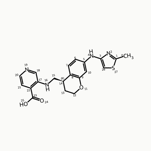 Cc1nc(Nc2ccc3c(c2)OCC[C@H]3CNc2cnccc2C(=O)O)cs1